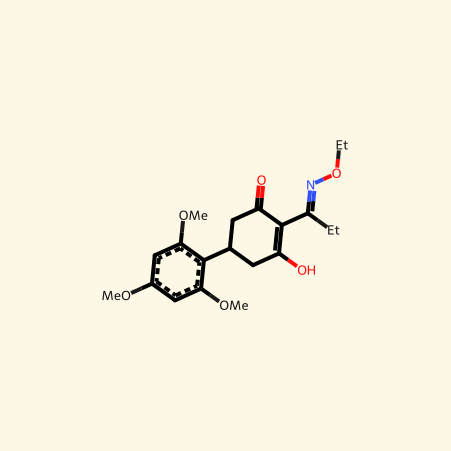 CCON=C(CC)C1=C(O)CC(c2c(OC)cc(OC)cc2OC)CC1=O